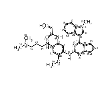 C=CC(=O)Nc1cc(Nc2nc(-c3cn(C)c4ccccc34)c3ccsc3n2)c(OC)cc1NCCCN(C)C